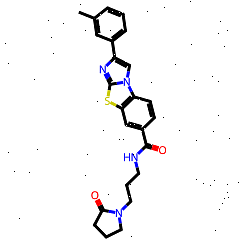 Cc1cccc(-c2cn3c(n2)sc2cc(C(=O)NCCCN4CCCC4=O)ccc23)c1